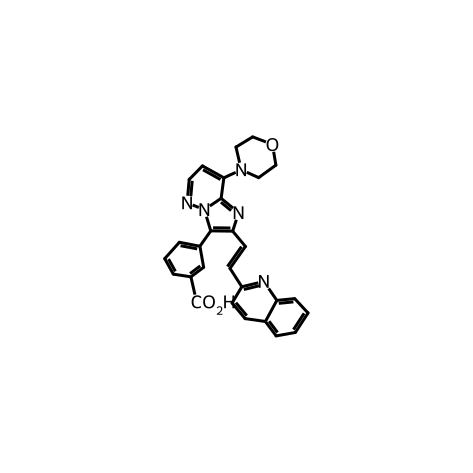 O=C(O)c1cccc(-c2c(C=Cc3ccc4ccccc4n3)nc3c(N4CCOCC4)ccnn23)c1